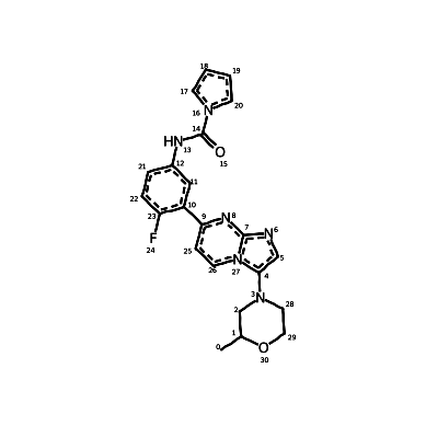 CC1CN(c2cnc3nc(-c4cc(NC(=O)n5cccc5)ccc4F)ccn23)CCO1